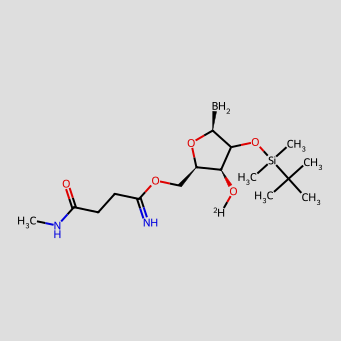 [2H]O[C@@H]1C(O[Si](C)(C)C(C)(C)C)[C@H](B)O[C@@H]1COC(=N)CCC(=O)NC